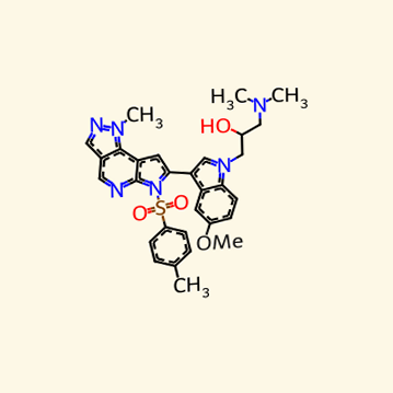 COc1ccc2c(c1)c(-c1cc3c4c(cnc3n1S(=O)(=O)c1ccc(C)cc1)cnn4C)cn2CC(O)CN(C)C